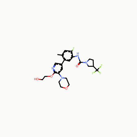 Cc1cc(F)c(NC(=O)N2CCC(C(F)(F)F)C2)cc1-c1cnc(OCCO)c(N2CCOCC2)c1